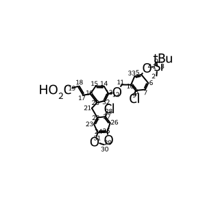 CC(C)(C)[Si](C)(C)Oc1ccc(Cl)c(COc2ccc(C=CC(=O)O)c(Cc3cc4c(cc3Cl)OCO4)c2)c1